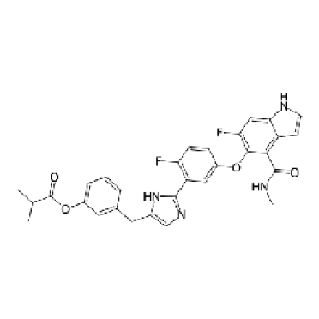 CNC(=O)c1c(Oc2ccc(F)c(-c3ncc(Cc4cccc(OC(=O)C(C)C)c4)[nH]3)c2)c(F)cc2[nH]ccc12